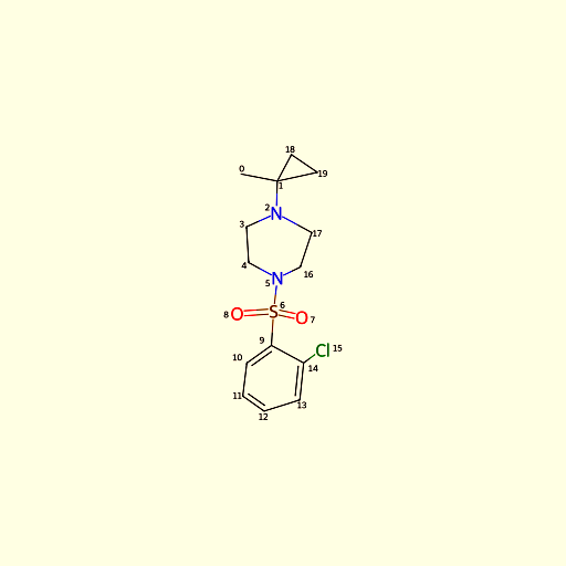 CC1(N2CCN(S(=O)(=O)c3ccccc3Cl)CC2)CC1